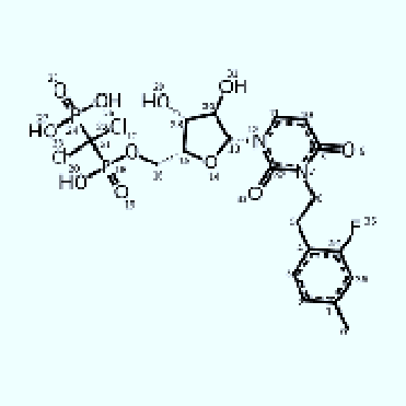 Cc1ccc(CCn2c(=O)ccn([C@@H]3O[C@H](COP(=O)(O)C(Cl)(Cl)P(=O)(O)O)[C@H](O)C3O)c2=O)c(F)c1